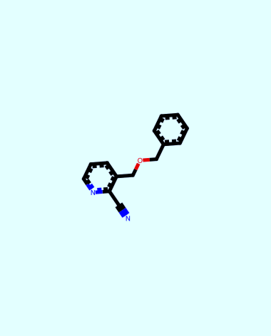 N#Cc1ncccc1COCc1ccccc1